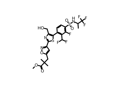 COC(=O)C(C)(C)Cc1cc(-c2nc(CO)c(-c3ccc(S(=O)(=O)NC(C)C(F)(F)F)c(F)c3C(F)F)s2)no1